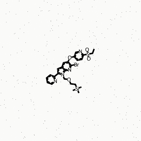 CCS(=O)(=O)c1ccc(Oc2cc3cc(-c4ccccn4)n(COCC[Si](C)(C)C)c3nc2Br)cn1